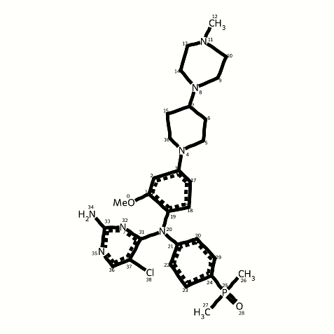 COc1cc(N2CCC(N3CCN(C)CC3)CC2)ccc1N(c1ccc(P(C)(C)=O)cc1)c1nc(N)ncc1Cl